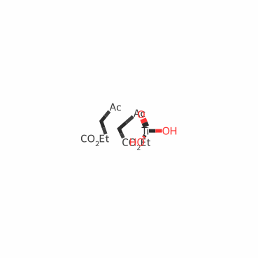 CCOC(=O)CC(C)=O.CCOC(=O)CC(C)=O.[O]=[Ti]([OH])[OH]